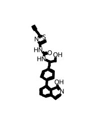 C#Cc1nc(NC(=O)NC(CO)c2ccc(-c3cccc4ccnc(O)c34)cc2)cs1